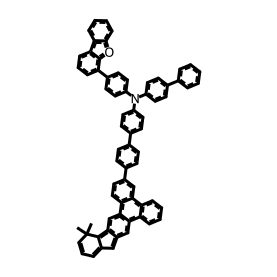 CC1(C)C=CC=C2C=c3cc4c5ccccc5c5cc(-c6ccc(-c7ccc(N(c8ccc(-c9ccccc9)cc8)c8ccc(-c9cccc%10c9oc9ccccc9%10)cc8)cc7)cc6)ccc5c4cc3=C21